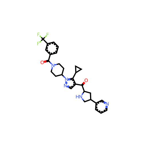 O=C(c1cnn(C2CCN(C(=O)c3cccc(C(F)(F)F)c3)CC2)c1C1CC1)C1CC(c2cccnc2)CN1